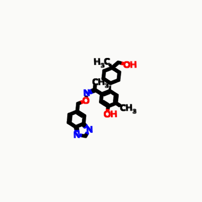 CC(=NOCc1ccc2c(c1)=NCN=2)c1cc(O)c(C)cc1[C@H]1CC[C@@](C)(CO)CC1